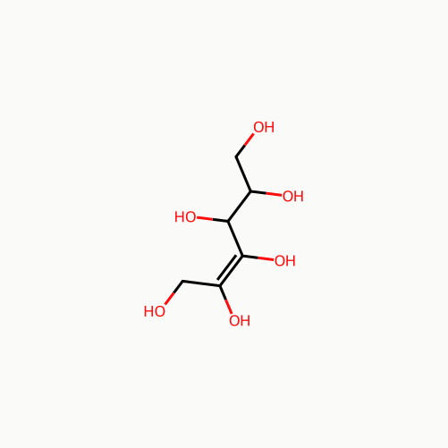 OC/C(O)=C(/O)C(O)C(O)CO